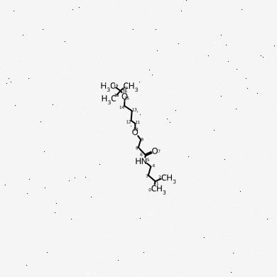 CC(C)CCNC(=O)CCOCCCCOC(C)(C)C